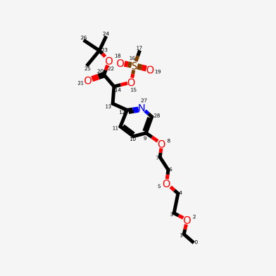 CCOCCOCCOc1ccc(CC(OS(C)(=O)=O)C(=O)OC(C)(C)C)nc1